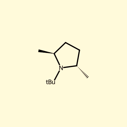 C[C@H]1CC[C@H](C)N1C(C)(C)C